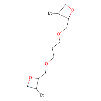 CCC1COC1COCCCOCC1OCC1CC